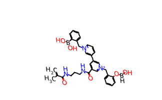 C=C(C)C(=O)NCCCNC(=O)c1cc(-c2ccc[n+](Cc3ccccc3B(O)O)c2)c[n+](Cc2ccccc2OBO)c1